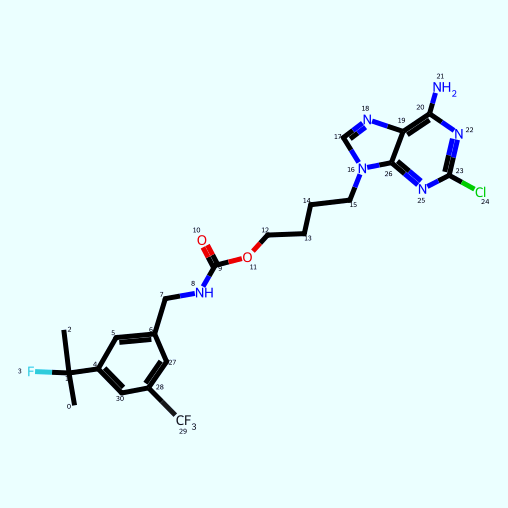 CC(C)(F)c1cc(CNC(=O)OCCCCn2cnc3c(N)nc(Cl)nc32)cc(C(F)(F)F)c1